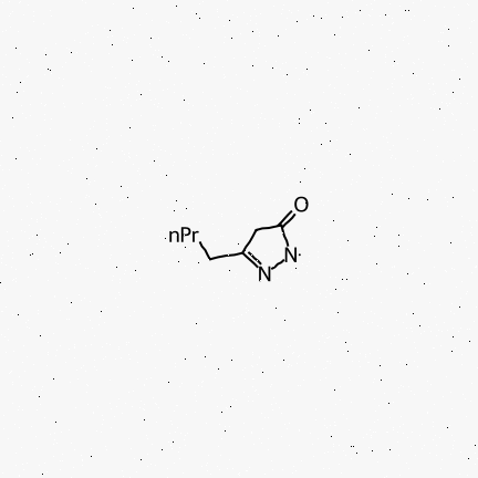 CCCCC1=N[N]C(=O)C1